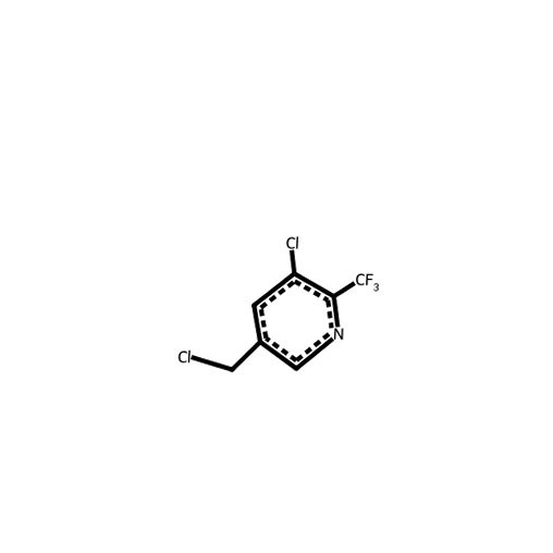 FC(F)(F)c1ncc(CCl)cc1Cl